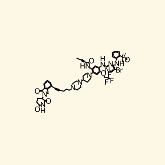 CC#CC(=O)Nc1cc(Nc2ncc(Br)c(Nc3ccccc3P(C)(C)=O)n2)c(OCC(F)(F)F)cc1N1CCC(N2CCN(CCCC#Cc3cccc4c3CN(C3CCC(=O)NC3=O)C4=O)CC2)CC1